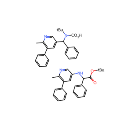 Cc1ncc(C(c2ccccc2)N(C(=O)O)C(C)(C)C)cc1-c1ccccc1.Cc1ncc(NC(C(=O)OC(C)(C)C)c2ccccc2)cc1-c1ccccc1